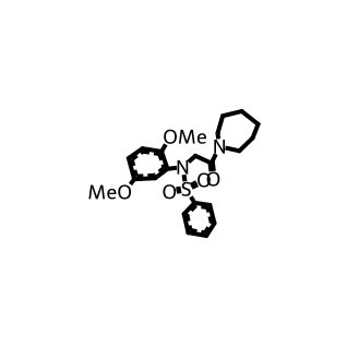 COc1ccc(OC)c(N(CC(=O)N2CCCCCC2)S(=O)(=O)c2ccccc2)c1